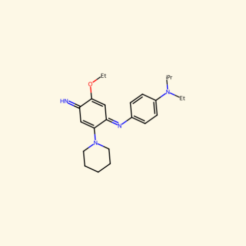 CCOC1=CC(=Nc2ccc(N(CC)C(C)C)cc2)C(N2CCCCC2)=CC1=N